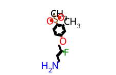 Cc1cc(OCC(F)=CCN)ccc1S(C)(=O)=O